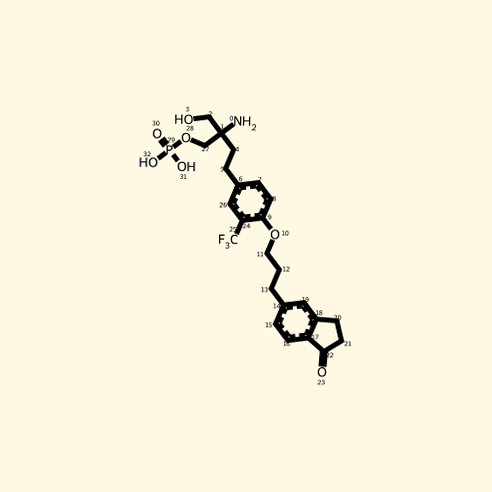 NC(CO)(CCc1ccc(OCCCc2ccc3c(c2)CCC3=O)c(C(F)(F)F)c1)COP(=O)(O)O